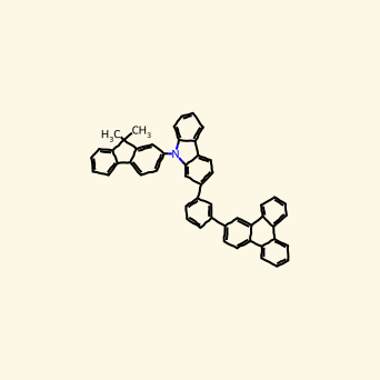 CC1(C)c2ccccc2-c2ccc(-n3c4ccccc4c4ccc(-c5cccc(-c6ccc7c8ccccc8c8ccccc8c7c6)c5)cc43)cc21